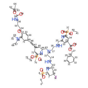 CCOP(C)(=O)c1cc(I)cc(CNCCN(CCNCc2cc(C(=O)OCc3ccccc3)cc(P(C)(=O)OCC)n2)Cc2cc(C#Cc3ccc(OCCCNC(=O)OC(C)(C)C)c(N(CC)CC)c3)cc(P(C)(=O)OCC)n2)n1